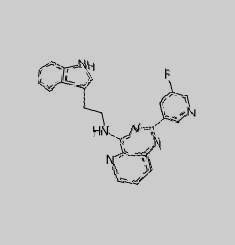 Fc1cncc(-c2nc(NCCc3c[nH]c4ccccc34)c3ncccc3n2)c1